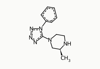 C[C@H]1CN(c2nnnn2-c2ccccc2)CCN1